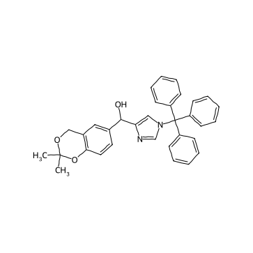 CC1(C)OCc2cc(C(O)c3cn(C(c4ccccc4)(c4ccccc4)c4ccccc4)cn3)ccc2O1